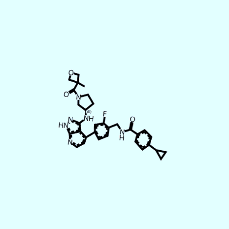 CC1(C(=O)N2CC[C@@H](Nc3n[nH]c4nccc(-c5ccc(CNC(=O)c6ccc(C7CC7)cc6)c(F)c5)c34)C2)COC1